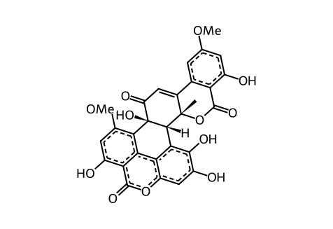 COc1cc(O)c2c(c1)C1=CC(=O)[C@@]3(O)c4c(OC)cc(O)c5c(=O)oc6cc(O)c(O)c(c6c45)[C@H]3[C@@]1(C)OC2=O